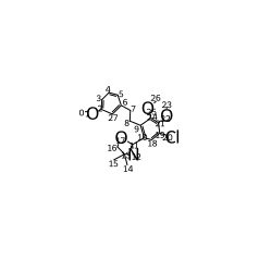 COc1cccc(CCc2c(C3=NC(C)(C)CO3)cc(Cl)c(OC)c2OC)c1